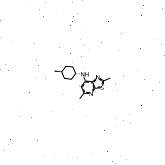 Cc1cc(N[C@H]2CC[C@H](C)CC2)c2nc(C)sc2n1